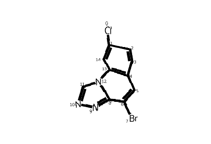 Clc1ccc2cc(Br)c3nncn3c2c1